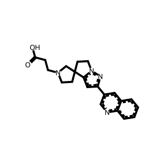 O=C(O)CCN1CCC2(CCn3nc(-c4cnc5ccccc5c4)cc32)C1